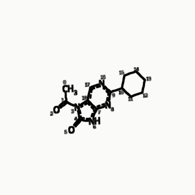 CC(=O)n1c(=O)[nH]c2nc(C3CCCCC3)ncc21